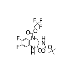 CC(C)(C)OC(=O)N[C@H]1CN(C(=O)OCC(F)(F)F)c2cc(F)c(F)cc2NC1=O